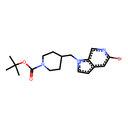 CC(C)(C)OC(=O)N1CCC(Cn2ccc3cc(Br)ncc32)CC1